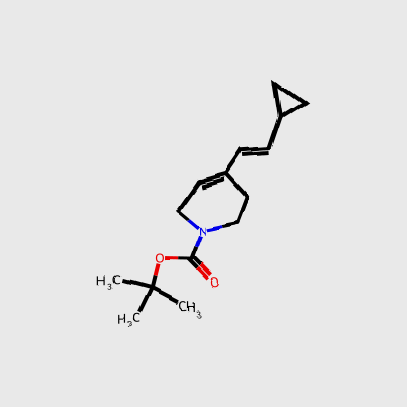 CC(C)(C)OC(=O)N1CC=C(/C=C/C2CC2)CC1